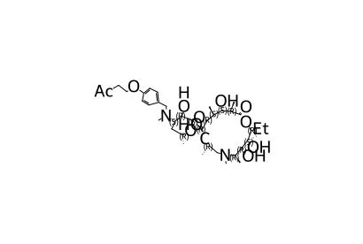 CC[C@H]1OC(=O)[C@H](C)[C@@H](O)[C@H](C)[C@@H](O[C@@H]2O[C@H](C)C[C@H](N(C)Cc3ccc(OCCC(C)=O)cc3)[C@H]2O)[C@](C)(O)C[C@@H](C)CN(C)[C@H](C)[C@@H](O)[C@]1(C)O